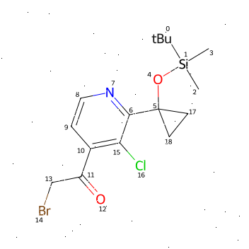 CC(C)(C)[Si](C)(C)OC1(c2nccc(C(=O)CBr)c2Cl)CC1